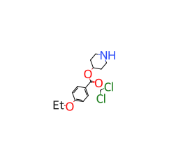 CCOc1ccc(C(=O)OC2CCNCC2)cc1.ClCCl